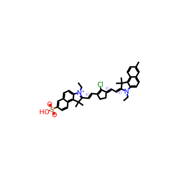 CCN1/C(=C/C=C2\CCC(/C=C/C3=[N+](CC)c4ccc5cc(S(=O)(=O)O)ccc5c4C3(C)C)=C2Cl)C(C)(C)c2c1ccc1cc(C)ccc21